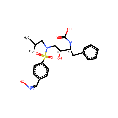 CC(C)CN(C[C@@H](O)[C@H](Cc1ccccc1)NC(=O)O)S(=O)(=O)c1ccc(/C=N\O)cc1